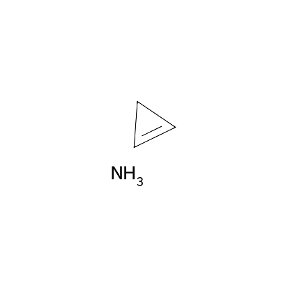 C1=CC1.N